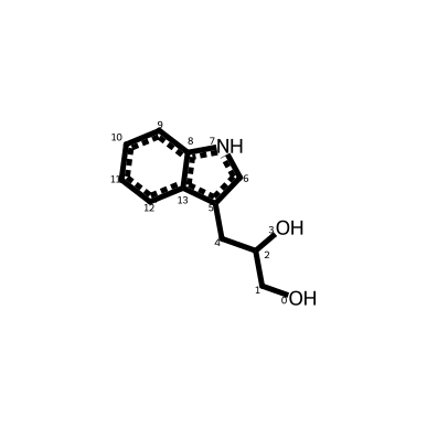 OCC(O)Cc1c[nH]c2ccc[c]c12